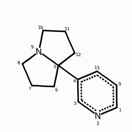 c1cncc(C23CCCN2CCC3)c1